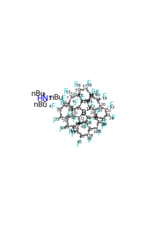 CCCC[NH+](CCCC)CCCC.Fc1c(F)c(F)c2c([B-](c3c(F)c(F)c(F)c4c(F)c(F)c(F)c(F)c34)(c3c(F)c(F)c(F)c4c(F)c(F)c(F)c(F)c34)c3c(F)c(F)c(F)c4c(F)c(F)c(F)c(F)c34)c(F)c(F)c(F)c2c1F